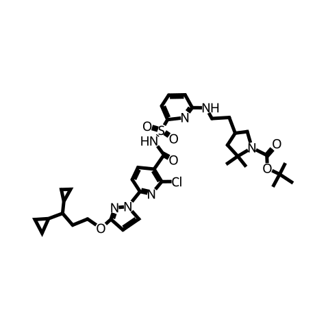 CC(C)(C)OC(=O)N1CC(CCNc2cccc(S(=O)(=O)NC(=O)c3ccc(-n4ccc(OCCC(C5CC5)C5CC5)n4)nc3Cl)n2)CC1(C)C